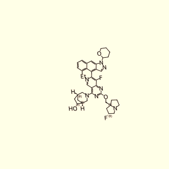 CCc1cccc2cc3c(cnn3C3CCCCO3)c(-c3ncc4c(N5C[C@@H]6C[C@H](C5)[C@H](O)C6)nc(OC[C@@]56CCCN5C[C@H](F)C6)nc4c3F)c12